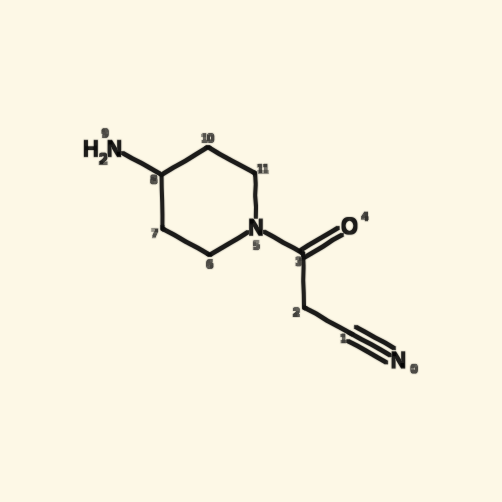 N#CCC(=O)N1CCC(N)CC1